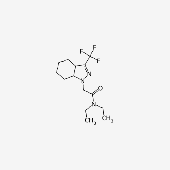 CCN(CC)C(=O)CN1N=C(C(F)(F)F)C2CCCCC21